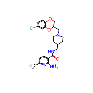 Cc1ccc(C(=O)NCC2CCN(CC3COc4ccc(Cl)cc4O3)CC2)c(N)n1